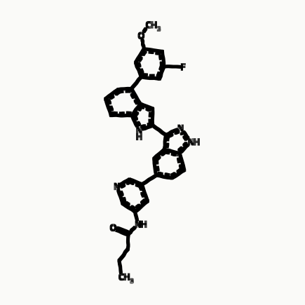 CCCC(=O)Nc1cncc(-c2ccc3[nH]nc(-c4cc5c(-c6cc(F)cc(OC)c6)cccc5[nH]4)c3c2)c1